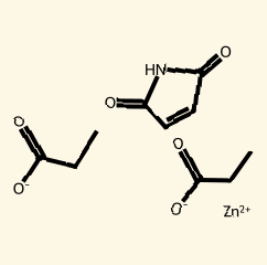 CCC(=O)[O-].CCC(=O)[O-].O=C1C=CC(=O)N1.[Zn+2]